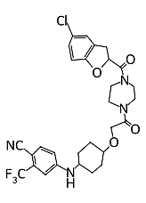 N#Cc1ccc(NC2CCC(OCC(=O)N3CCN(C(=O)C4Cc5cc(Cl)ccc5O4)CC3)CC2)cc1C(F)(F)F